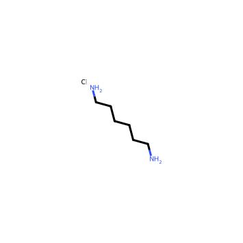 NCCCCCCN.[C]